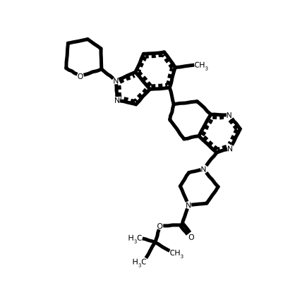 Cc1ccc2c(cnn2C2CCCCO2)c1C1CCc2c(ncnc2N2CCN(C(=O)OC(C)(C)C)CC2)C1